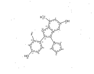 Cc1cc(O)cc2c(-c3ccsc3)c(-c3ccc(O)cc3F)oc12